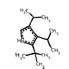 CC(C)c1c[nH]c(C(C)(C)C)c1C(C)C